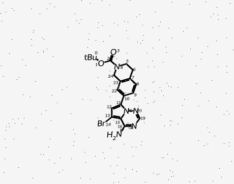 CC(C)(C)OC(=O)N1CCc2ccc(-c3cc(Br)c4c(N)ncnn34)cc2C1